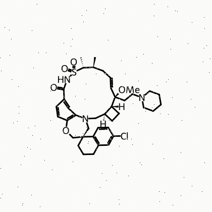 CO[C@]1(CCN2CCCCC2)/C=C/C[C@H](C)[C@@H](C)S(=O)(=O)NC(=O)c2ccc3c(c2)N(C[C@@H]2CC[C@H]21)C[C@@]1(CCCc2cc(Cl)ccc21)CO3